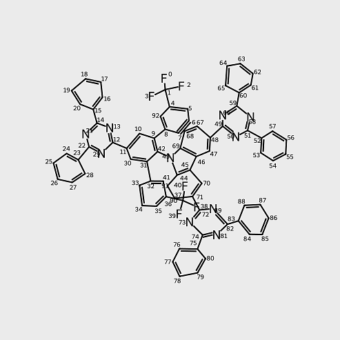 FC(F)(F)c1cc#cc(-c2cc(-c3nc(-c4ccccc4)nc(-c4ccccc4)n3)cc(-c3cccc(C(F)(F)F)c3)c2-n2c3c(c4cc(-c5nc(-c6ccccc6)nc(-c6ccccc6)n5)ccc42)C=C(c2nc(-c4ccccc4)nc(-c4ccccc4)n2)CC3)c1